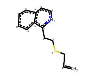 C=CCSCCc1n[c]cc2ccccc12